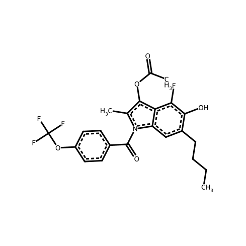 CCCCc1cc2c(c(F)c1O)c(OC(C)=O)c(C)n2C(=O)c1ccc(OC(F)(F)F)cc1